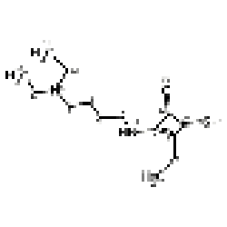 CCc1c(NCCCCN(CC)CC)c(=O)c1=S